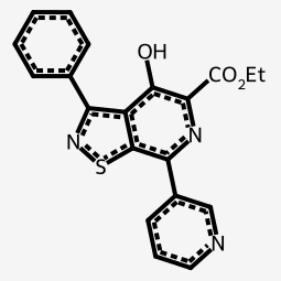 CCOC(=O)c1nc(-c2cccnc2)c2snc(-c3ccccc3)c2c1O